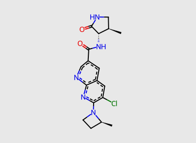 C[C@@H]1CNC(=O)[C@H]1NC(=O)c1cnc2nc(N3CC[C@@H]3C)c(Cl)cc2c1